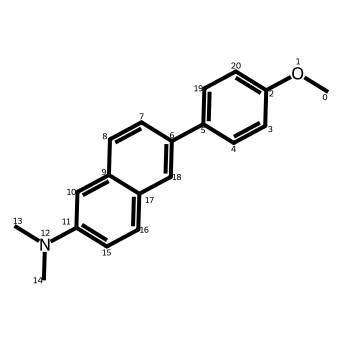 COc1ccc(-c2ccc3cc(N(C)C)ccc3c2)cc1